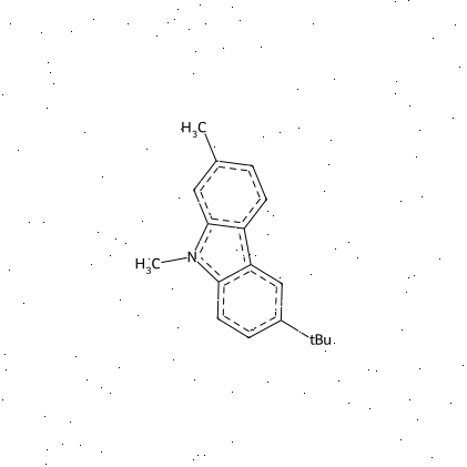 Cc1ccc2c3cc(C(C)(C)C)ccc3n(C)c2c1